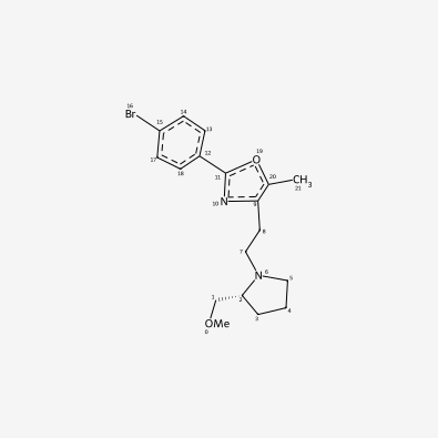 COC[C@H]1CCCN1CCc1nc(-c2ccc(Br)cc2)oc1C